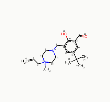 C=CC[N+]1(C)CCN(Cc2cc(C(C)(C)C)cc(C=O)c2O)CC1